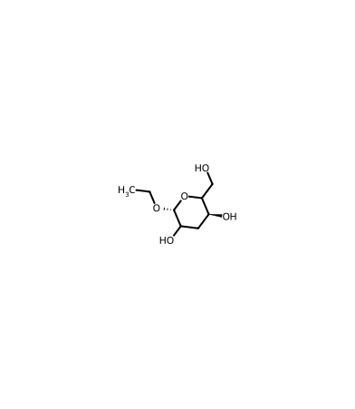 CCO[C@@H]1OC(CO)[C@@H](O)CC1O